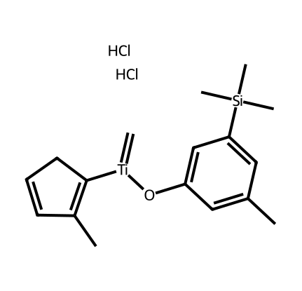 Cl.Cl.[CH2]=[Ti]([O]c1cc(C)cc([Si](C)(C)C)c1)[C]1=C(C)C=CC1